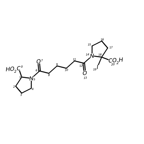 O=C(O)C1CCCN1C(=O)CCCCC(=O)N1CCCC1(I)C(=O)O